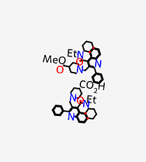 CCN(C(=O)c1c(CN2CCC(C(=O)O)CC2)c(-c2ccccc2)nc2ccccc12)C1CCCCC1.CCN(C(=O)c1c(CN2CCC(C(=O)OC)CC2)c(-c2ccccc2)nc2ccccc12)C1CCCCC1